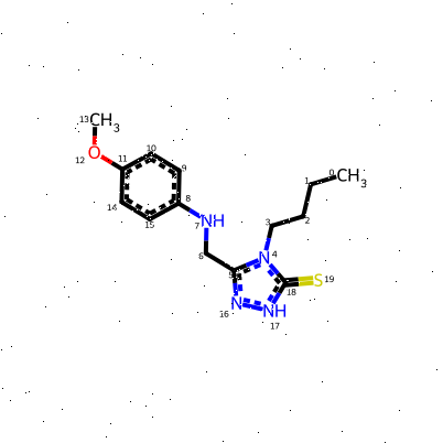 CCCCn1c(CNc2ccc(OC)cc2)n[nH]c1=S